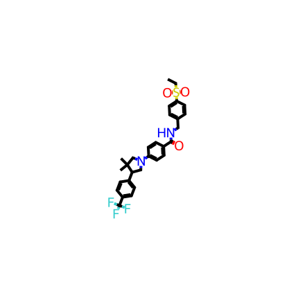 CCS(=O)(=O)c1ccc(CNC(=O)c2ccc(N3CC(c4ccc(C(F)(F)F)cc4)C(C)(C)C3)cc2)cc1